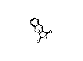 O=C1CC(=Cc2ccccc2[N+](=O)[O-])C(=O)O1